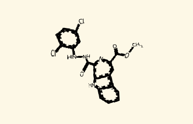 COC(=O)c1cc2c([nH]c3ccccc32)c(C(=O)NNc2cc(Cl)ccc2Cl)n1